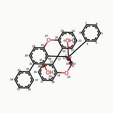 Oc1c(-c2ccccc2)ccc2c1C1(c3ccccc3O2)c2ccccc2Oc2ccc(-c3ccccc3)c(O)c21